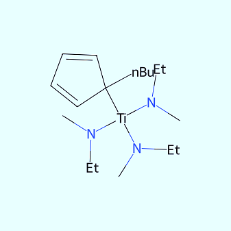 CCCC[C]1([Ti]([N](C)CC)([N](C)CC)[N](C)CC)C=CC=C1